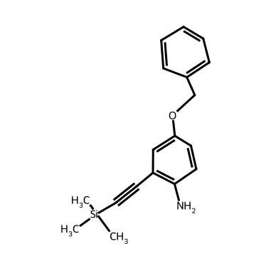 C[Si](C)(C)C#Cc1cc(OCc2ccccc2)ccc1N